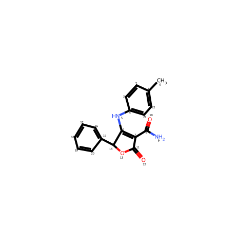 Cc1ccc(NC2=C(C(N)=O)C(=O)OC2c2ccccc2)cc1